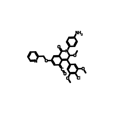 COc1cc(C2=c3c(cc(OCc4ccccn4)cc3=C=O)C(=O)N(c3ccc(N)cc3)C2OC)cc(OC)c1Cl